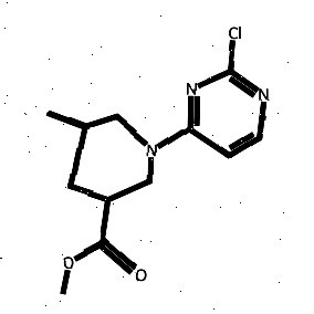 COC(=O)C1CC(C)CN(c2ccnc(Cl)n2)C1